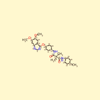 COc1cc2ncnc(Oc3ccc(NC(=O)C(C)(C)C(=O)Nc4ccc(C)cc4)cc3)c2cc1OC